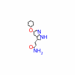 NC(=O)C=Cc1c[nH]c2ncc(Oc3ccccc3)cc12